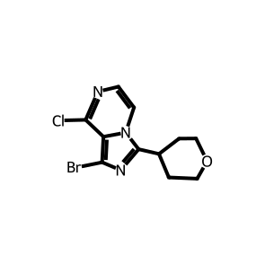 Clc1nccn2c(C3CCOCC3)nc(Br)c12